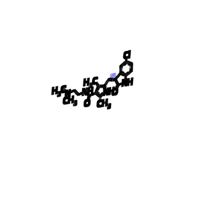 Cc1[nH]c(/C=C2\C(=O)Nc3ccc(Cl)cc32)c(C)c1C(=O)NCCN(C)C